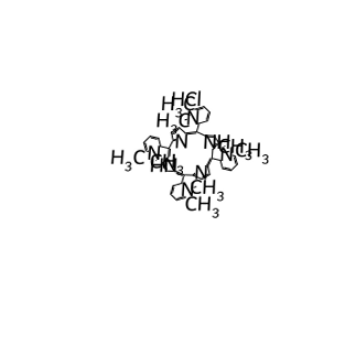 CC1=CC=CC(c2c3nc(c(C4C=CC=C(C)N4C)c4ccc([nH]4)c(C4C=CC=C(C)N4C)c4nc(c(C5C=CC=C(C)N5C)c5ccc2[nH]5)C=C4)C=C3)N1C.Cl